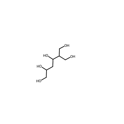 OCC(O)CC(O)C(CO)CO